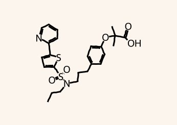 CCCN(CCCc1ccc(OC(C)(C)C(=O)O)cc1)S(=O)(=O)c1ccc(-c2ccccn2)s1